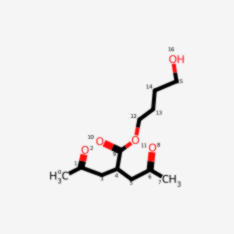 CC(=O)CC(CC(C)=O)C(=O)OCCCCO